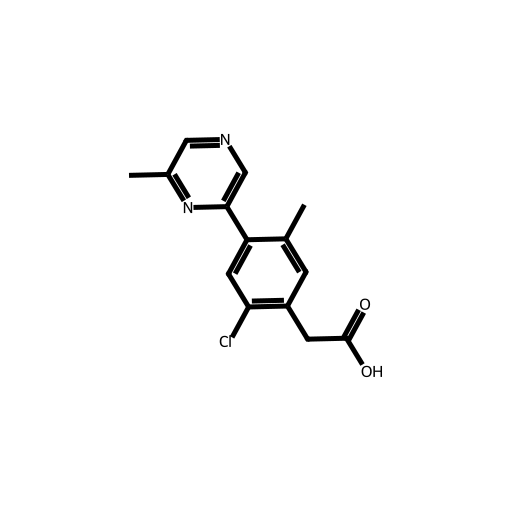 Cc1cncc(-c2cc(Cl)c(CC(=O)O)cc2C)n1